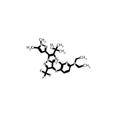 CCN(CC)c1ccc(/N=C2/C(C(F)(F)F)=Nn3c2nc(C(C)(C)C)c3-c2cc(C)n(C)n2)c(C)n1